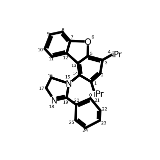 CC(C)c1cc(C(C)C)c2oc3ccccc3c2c1N1CCN=C1c1ccccc1